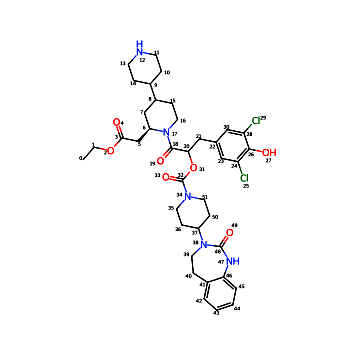 CCOC(=O)C[C@H]1CC(C2CCNCC2)CCN1C(=O)C(Cc1cc(Cl)c(O)c(Cl)c1)OC(=O)N1CCC(N2CCc3ccccc3NC2=O)CC1